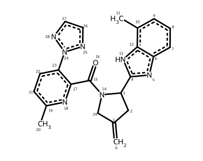 C=C1CC(c2nc3cccc(C)c3[nH]2)N(C(=O)c2nc(C)ccc2-n2nccn2)C1